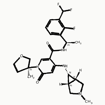 C[C@@H](NC(=O)c1cn([C@@]2(C)CCOC2)c(=O)cc1N[C@@H]1[C@@H]2CN(C)C[C@@H]21)c1cccc(C(F)F)c1F